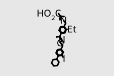 CCc1cc(C(C)=NOCc2ccc(C3CCCCC3)c(I)c2)ccc1CN1CC(C(=O)O)C1